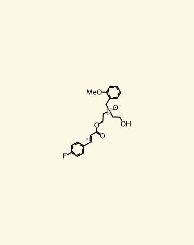 COc1ccccc1C[N@+]([O-])(CCO)CCOC(=O)/C=C/c1ccc(F)cc1